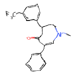 CN1C=C(c2ccccc2)C(=O)C(c2cccc(C(F)(F)F)c2)C1